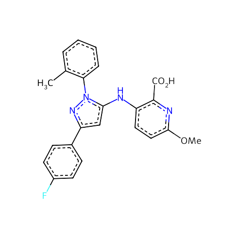 COc1ccc(Nc2cc(-c3ccc(F)cc3)nn2-c2ccccc2C)c(C(=O)O)n1